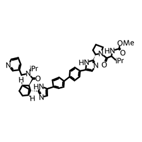 COC(=O)NC(C(=O)N1CCC[C@H]1c1ncc(-c2ccc(-c3ccc(-c4cnc([C@@H]5[C@H]6CC[C@H](C6)[C@H]5C(=O)N(Cc5cccnc5)C(C)C)[nH]4)cc3)cc2)[nH]1)C(C)C